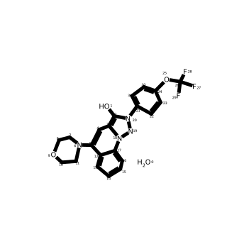 O.OC1=C2C=C(N3CCOCC3)c3ccccc3N2[N]N1c1ccc(OC(F)(F)F)cc1